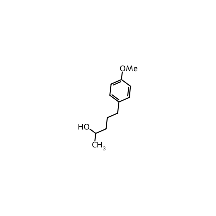 COc1ccc(CCCC(C)O)cc1